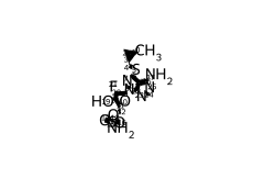 C[C@@H]1C[C@H]1CSc1nn([C@@H]2O[C@H](COS(N)(=O)=O)[C@@H](O)[C@@H]2F)c2ncnc(N)c12